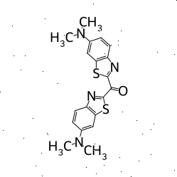 CN(C)c1ccc2nc(C(=O)c3nc4ccc(N(C)C)cc4s3)sc2c1